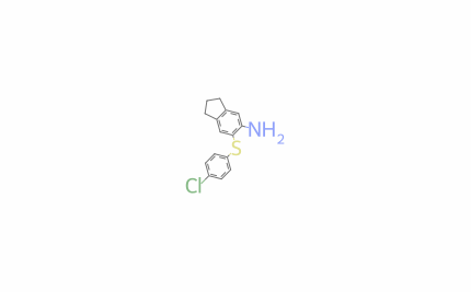 Nc1cc2c(cc1Sc1ccc(Cl)cc1)CCC2